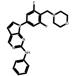 Fc1cc(-n2ccc3cnc(Nc4ccccc4)nc32)cc(F)c1CN1CCOCC1